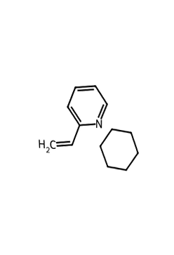 C1CCCCC1.C=Cc1ccccn1